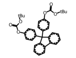 CC(C)(C)OC(=O)Oc1ccc(C2(c3ccc(OC(=O)OC(C)(C)C)cc3)c3ccccc3-c3ccccc32)cc1